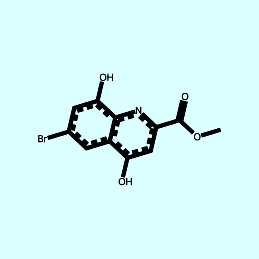 COC(=O)c1cc(O)c2cc(Br)cc(O)c2n1